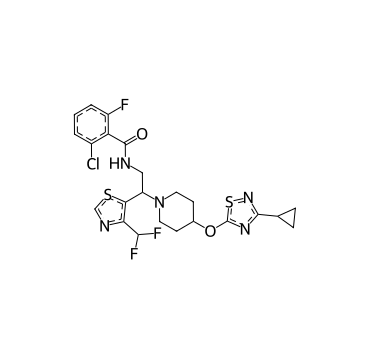 O=C(NCC(c1scnc1C(F)F)N1CCC(Oc2nc(C3CC3)ns2)CC1)c1c(F)cccc1Cl